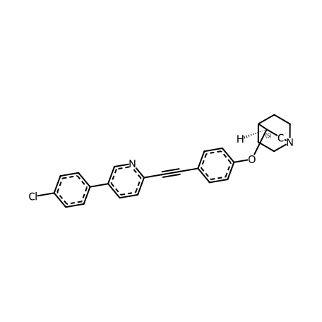 Clc1ccc(-c2ccc(C#Cc3ccc(O[C@@H]4CN5CCC4CC5)cc3)nc2)cc1